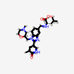 Cc1cc(-c2nc3cc(CN[C@@H](CC(C)C)C(=O)O)ccc3n2CC2CN(C)CCO2)c[nH]c1=O